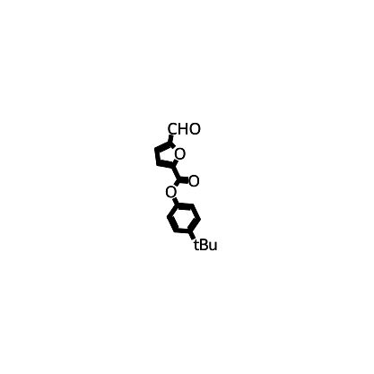 CC(C)(C)c1ccc(OC(=O)c2ccc(C=O)o2)cc1